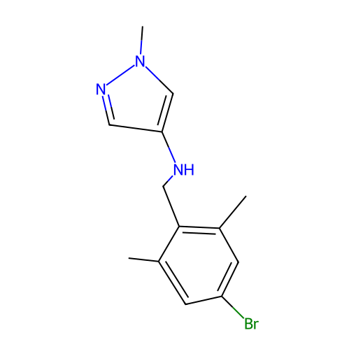 Cc1cc(Br)cc(C)c1CNc1cnn(C)c1